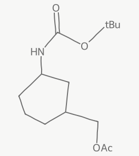 CC(=O)OCC1CCCC(NC(=O)OC(C)(C)C)C1